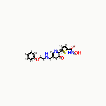 O=C1CC(CNCCOc2ccccc2)=CN=C1c1ccc(C(=O)NO)s1